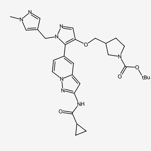 Cn1cc(Cn2ncc(OCC3CCN(C(=O)OC(C)(C)C)C3)c2-c2ccn3nc(NC(=O)C4CC4)cc3c2)cn1